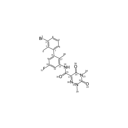 Cc1c(Br)cccc1-c1cc(F)cc(NC(=O)c2nn(C)c(=O)n(C)c2=O)c1C